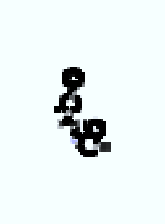 CC1CN(c2ccccc2)CCN1C(=S)N/C=C1/CCCNc2ccccc21